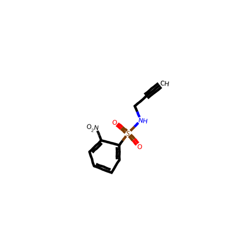 C#CCNS(=O)(=O)c1ccccc1[N+](=O)[O-]